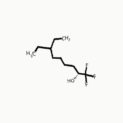 CCC(CC)CCCC[C@@H](O)C(F)(F)F